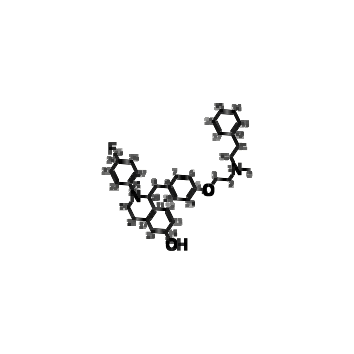 CN(CCOc1ccc(CC2c3ccc(O)cc3CCN2c2ccc(F)cc2)cc1)CCc1ccccc1